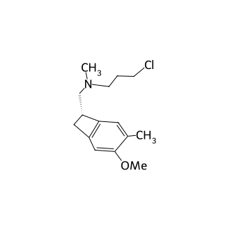 COc1cc2c(cc1C)[C@@H](CN(C)CCCCl)C2